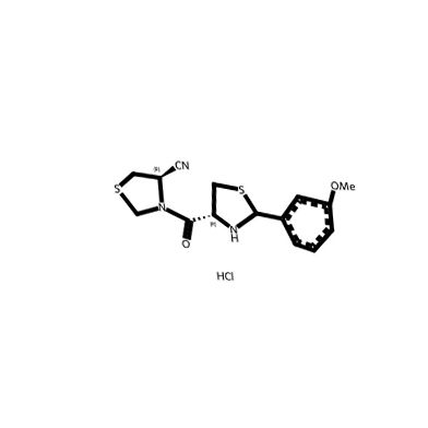 COc1cccc(C2N[C@H](C(=O)N3CSC[C@H]3C#N)CS2)c1.Cl